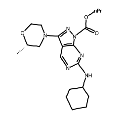 CCCOC(=O)n1nc(N2CCO[C@@H](C)C2)c2cnc(NC3CCCCC3)nc21